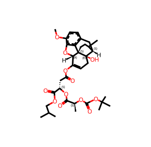 COc1ccc2c3c1O[C@H]1C(OC(=O)C[C@H](OC(=O)[C@H](C)OC(=O)OC(C)(C)C)C(=O)OCC(C)C)=CC[C@@]4(O)[C@@H](C2)C(C)CC[C@]314